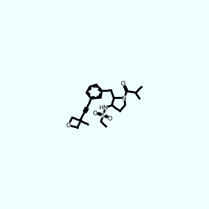 CCS(=O)(=O)NC1CCN(C(=O)C(C)C)C1Cc1cccc(C#CC2(C)COC2)c1